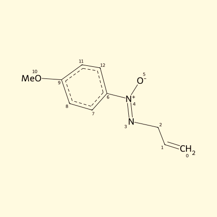 C=CC/N=[N+](\[O-])c1ccc(OC)cc1